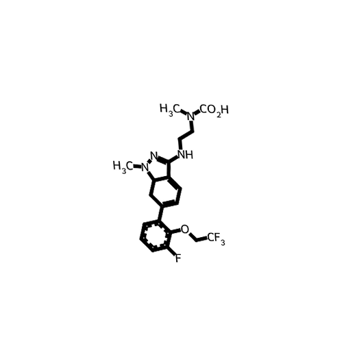 CN(CCNC1=NN(C)C2CC(c3cccc(F)c3OCC(F)(F)F)=CC=C12)C(=O)O